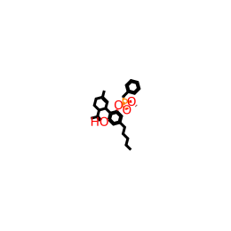 C=C(C)C1CCC(C)=CC1c1c(O)cc(CCCCC)cc1OP(=O)(Cc1ccccc1)OC